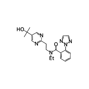 CCN(CCc1ncc(C(C)(C)O)cn1)C(=O)c1ccccc1-n1nccn1